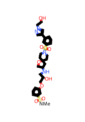 CNS(=O)(=O)c1cccc(OC[C@@H](O)CNC2COC3(CCN(S(=O)(=O)c4cccc(-c5cnn(CCO)c5)c4)CC3)C2)c1